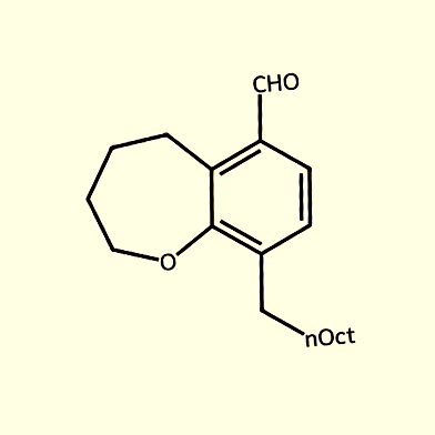 CCCCCCCCCc1ccc(C=O)c2c1OCCCC2